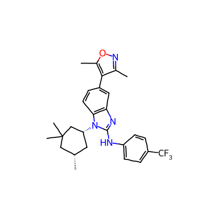 Cc1noc(C)c1-c1ccc2c(c1)nc(Nc1ccc(C(F)(F)F)cc1)n2[C@@H]1C[C@H](C)CC(C)(C)C1